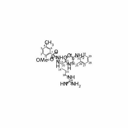 COc1ccc(C)cc1S(=O)(=O)NN[C@@H](CCCNC(=N)N)C(=O)N[C@@H](Cc1ccccc1)C(N)=O